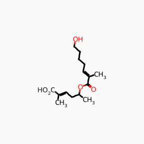 CC(=CCC(C)OC(=O)C(C)=CCCCCO)C(=O)O